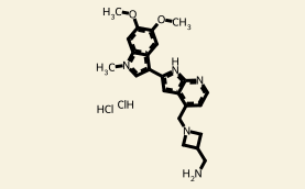 COc1cc2c(-c3cc4c(CN5CC(CN)C5)ccnc4[nH]3)cn(C)c2cc1OC.Cl.Cl